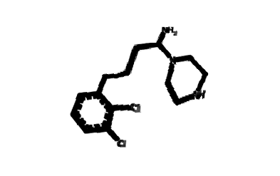 NC(CCCc1cccc(Cl)c1Cl)N1CCNCC1